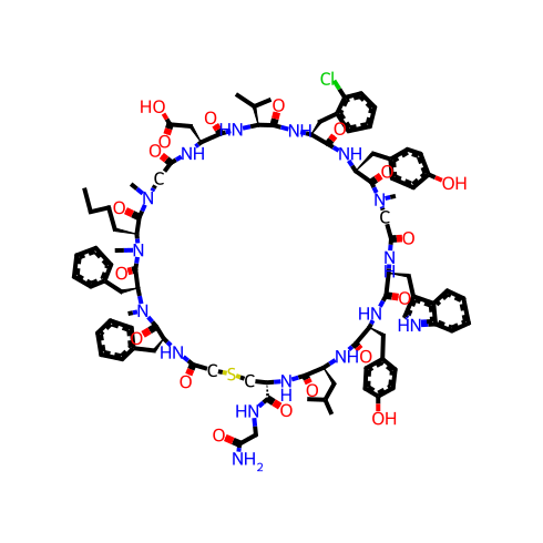 CCCC[C@H]1C(=O)N(C)CC(=O)N[C@@H](CC(=O)O)C(=O)N[C@@H](C(C)C)C(=O)N[C@@H](Cc2ccccc2Cl)C(=O)N[C@@H](Cc2ccc(O)cc2)C(=O)N(C)CC(=O)N[C@@H](Cc2c[nH]c3ccccc23)C(=O)N[C@@H](Cc2ccc(O)cc2)C(=O)N[C@@H](CC(C)C)C(=O)N[C@H](C(=O)NCC(N)=O)CSCC(=O)N[C@@H](Cc2ccccc2)C(=O)N(C)[C@@H](Cc2ccccc2)C(=O)N1C